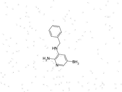 Bc1cnc(N)c(NCc2ccccc2)c1